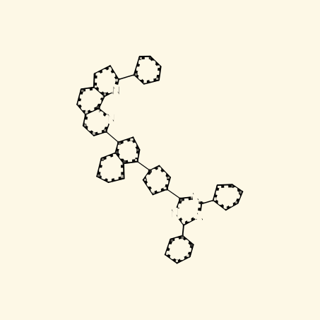 c1ccc(-c2ccc3ccc4ccc(-c5ccc(-c6ccc(-c7nc(-c8ccccc8)nc(-c8ccccc8)n7)cc6)c6ccccc56)nc4c3n2)cc1